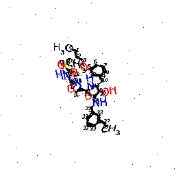 CCCCOc1cccc(C[C@H](NC(=O)c2coc(NS(C)(=O)=O)n2)[C@@H](O)CNCc2cccc(CC)c2)c1